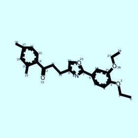 CCOc1ccc(-c2nc(CCC(=O)c3ccc(C)cc3C)co2)cc1OCC